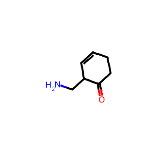 NCC1C=CCCC1=O